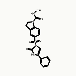 CC(C)(C)NC(=O)N1CCc2cc(S(=O)(=O)n3cc(-c4ccccc4)[nH]c3=O)ccc21